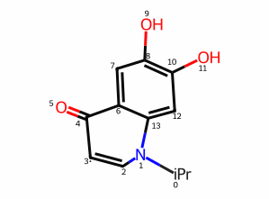 CC(C)n1c[c]c(=O)c2cc(O)c(O)cc21